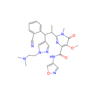 COc1c(C(=O)Nc2cnoc2)nc(C(C)C(c2cnn(CCN(C)C)c2)c2ccccc2C#N)n(C)c1=O